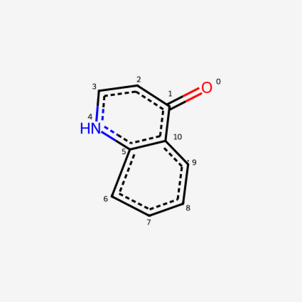 O=c1cc[nH]c2ccc[c]c12